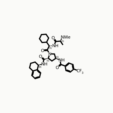 CN[C@@H](C)C(=O)N[C@H](C(=O)N1C[C@@H](NC(=O)c2ccc(C(F)(F)F)cc2)C[C@H]1C(=O)N[C@@H]1CCCc2ccccc21)C1CCCCC1